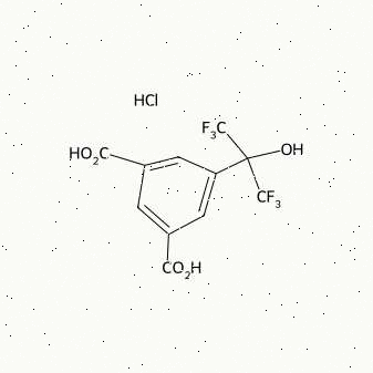 Cl.O=C(O)c1cc(C(=O)O)cc(C(O)(C(F)(F)F)C(F)(F)F)c1